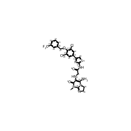 CN1C(=O)C(NCC(=O)Nc2nc(-c3cc(Cl)c(OCc4cccc(C(F)(F)F)c4)c(Cl)c3)cs2)=C(N)N2CCN=C12